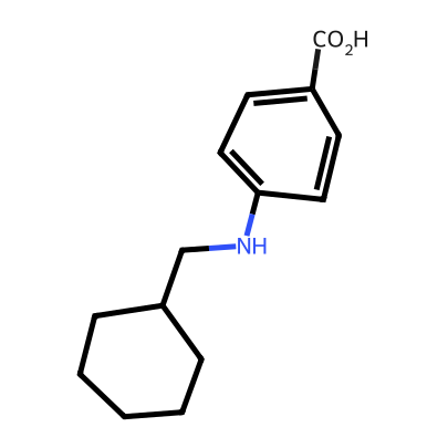 O=C(O)c1ccc(NCC2CCCCC2)cc1